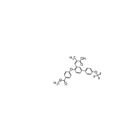 COC(=O)c1ccc(Oc2ccc(-c3ccc(OC(F)(F)F)cc3)cc2C=C(C)C(=O)O)cc1